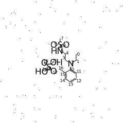 CCN(CCNS(C)(=O)=O)c1ccccc1C.O=S(=O)(O)O